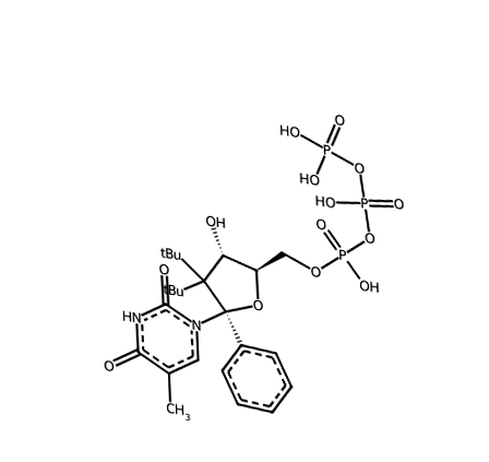 Cc1cn([C@]2(c3ccccc3)O[C@H](COP(=O)(O)OP(=O)(O)OP(=O)(O)O)[C@@H](O)C2(C(C)(C)C)C(C)(C)C)c(=O)[nH]c1=O